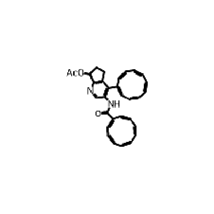 CC(=O)OC1CCc2c1ncc(NC(=O)c1ccccccccc1)c2-c1ccccccccc1